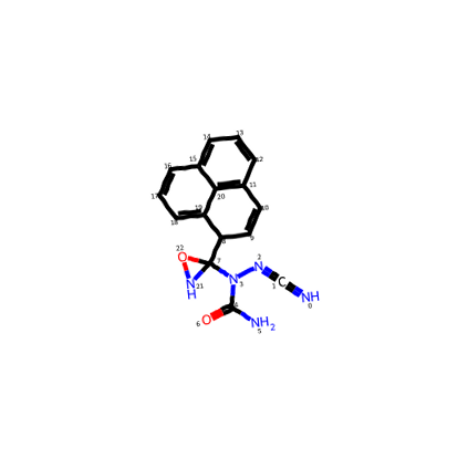 N=C=NN(C(N)=O)C1(C2C=Cc3cccc4cccc2c34)NO1